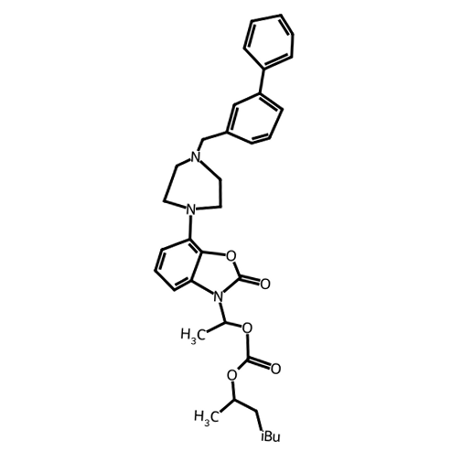 CCC(C)CC(C)OC(=O)OC(C)n1c(=O)oc2c(N3CCN(Cc4cccc(-c5ccccc5)c4)CC3)cccc21